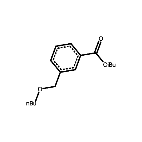 CCCCOCc1cccc(C(=O)OCC(C)C)c1